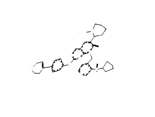 CN1CCCCC1c1cc2cnc(Nc3ccc(C4=CCNCC4)cc3)nc2n(Cc2ccncc2S(=O)(=O)C2CCCC2)c1=O